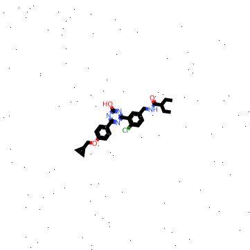 CCC(CC)C(=O)NCc1ccc(Cl)c(-c2nc(O)nc(-c3ccc(OCC4CC4)cc3)n2)c1